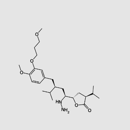 COCCCOc1cc(C[C@@H](C[C@H](NN)[C@@H]2C[C@@H](C(C)C)C(=O)O2)C(C)C)ccc1OC